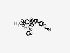 CS(=O)(=O)N1CCN(S(=O)(=O)c2ccc(-c3ccc(OCC#N)cc3)s2)[C@@H](C(=O)NOC2CCCCO2)C1